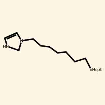 CCCCCCCCCCCCCCN1C=CNC1